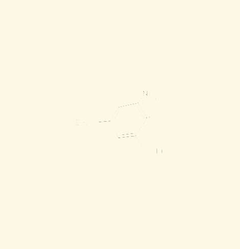 CCOC(=O)c1cc(C(=O)OCC)cc([N+](=O)[O-])c1